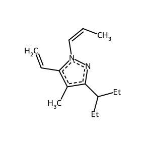 C=Cc1c(C)c(C(CC)CC)nn1/C=C\C